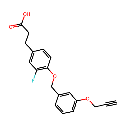 C#CCOc1cccc(COc2ccc(CCC(=O)O)cc2F)c1